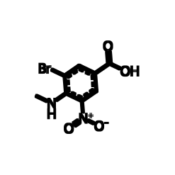 CNc1c(Br)cc(C(=O)O)cc1[N+](=O)[O-]